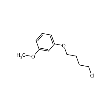 COc1cccc(OCCCCCl)c1